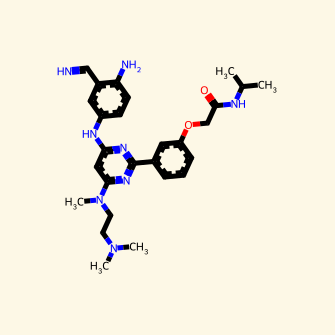 CC(C)NC(=O)COc1cccc(-c2nc(Nc3ccc(N)c(C=N)c3)cc(N(C)CCN(C)C)n2)c1